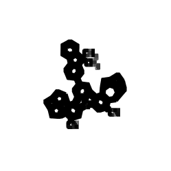 CC1(C)c2ccccc2-c2ccc(-c3cc4c5c6c(c(C#N)cc5n5c7cc(C#N)c8c(c7c(c3)c45)C3CC4CC5CC8CC54C3)C3CC4CC5CC6CC45C3)cc21